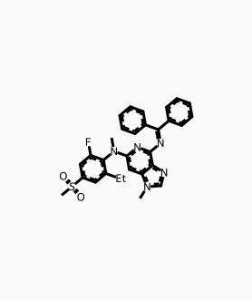 CCc1cc(S(C)(=O)=O)cc(F)c1N(C)c1cc2c(ncn2C)c(N=C(c2ccccc2)c2ccccc2)n1